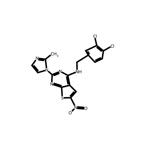 Cc1nccn1-c1nc(NCc2ccc(Cl)c(Cl)c2)c2cc([N+](=O)[O-])sc2n1